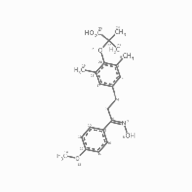 Cc1cc(CCC(=NO)c2ccc(OC(F)(F)F)cc2)cc(C)c1OC(C)(C)C(=O)O